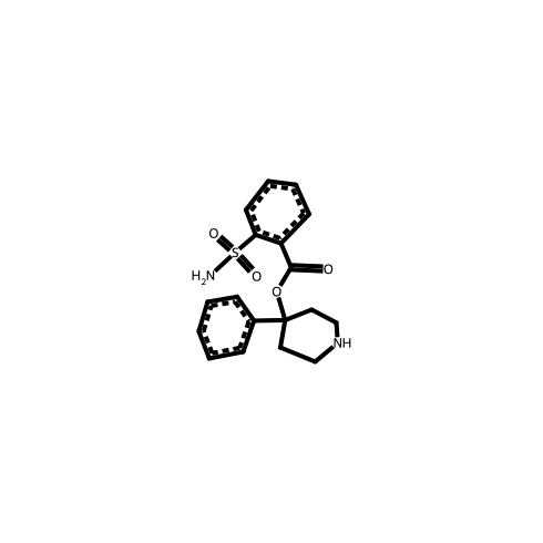 NS(=O)(=O)c1ccccc1C(=O)OC1(c2ccccc2)CCNCC1